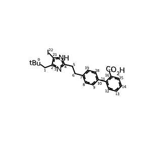 CC(C)(C)Cc1nc(CCc2ccc(-c3ccccc3C(=O)O)cc2)[nH]c1I